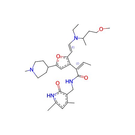 C/C=C(\C(=O)NCc1c(C)cc(C)[nH]c1=O)c1cc(C2CCN(C)CC2)oc1/C=C/N(CC)C(C)CCOC